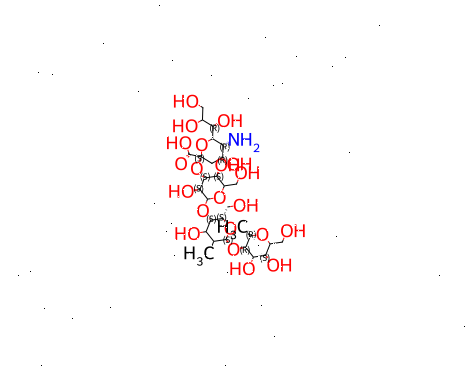 CC1C(O)[C@H](OC2OC(CO)[C@H](O)[C@H](O[C@]3(C(=O)O)C[C@@H](O)[C@@H](N)C([C@H](O)C(O)CO)O3)[C@@H]2O)[C@H](CO)O[C@H]1O[C@@H]1C(O)[C@H](O)C(CO)O[C@@H]1C